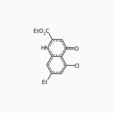 CCOC(=O)c1cc(=O)c2c(Cl)cc(CC)cc2[nH]1